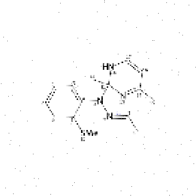 C/C=N/N(c1ccccc1SC)C1(C)N=C(C)C=CN1